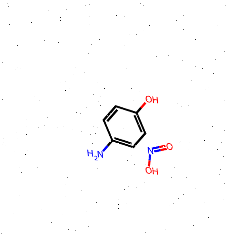 Nc1ccc(O)cc1.O=NO